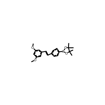 COc1cc(C=Cc2ccc(B3OC(C)(C)C(C)(C)O3)cc2)cc(OC)c1